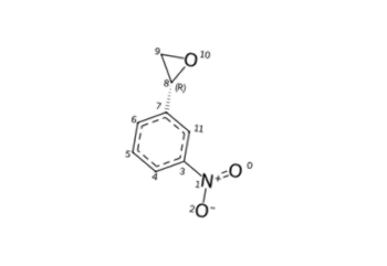 O=[N+]([O-])c1cccc([C@@H]2CO2)c1